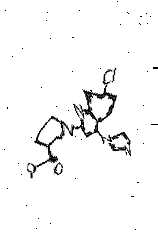 COC(=O)C1CCCN(c2cc(-n3ccnc3)c3ccc(Cl)cc3n2)C1